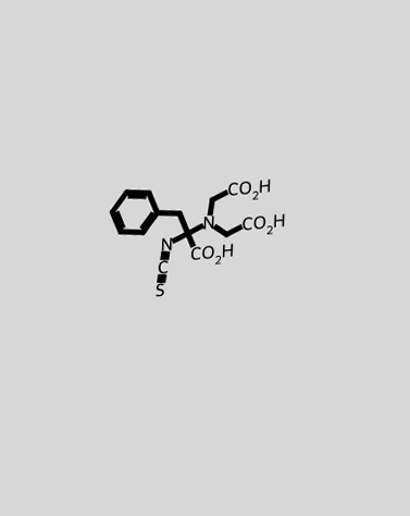 O=C(O)CN(CC(=O)O)C(Cc1ccccc1)(N=C=S)C(=O)O